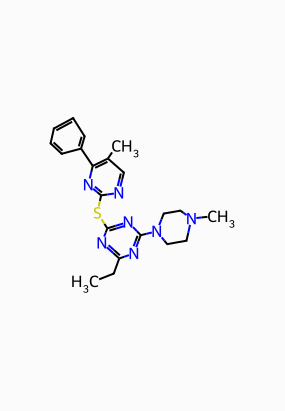 CCc1nc(Sc2ncc(C)c(-c3ccccc3)n2)nc(N2CCN(C)CC2)n1